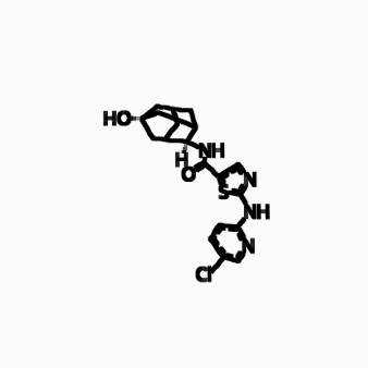 O=C(N[C@H]1C2CC3CC1C[C@](O)(C3)C2)c1cnc(Nc2ccc(Cl)cn2)s1